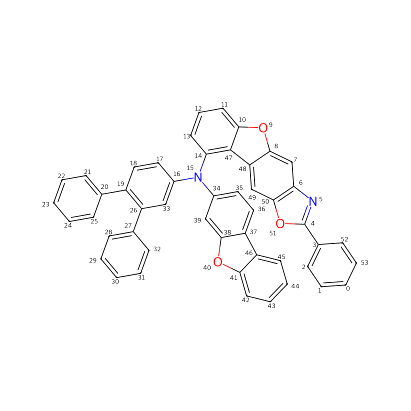 c1ccc(-c2nc3cc4oc5cccc(N(c6ccc(-c7ccccc7)c(-c7ccccc7)c6)c6ccc7c(c6)oc6ccccc67)c5c4cc3o2)cc1